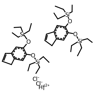 CC[Si](CC)(CC)Oc1cc2c(cc1O[Si](CC)(CC)CC)CC=C2.CC[Si](CC)(CC)Oc1cc2c(cc1O[Si](CC)(CC)CC)CC=C2.[Cl-].[Cl-].[Hf+2]